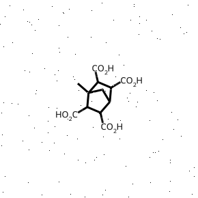 CC12CC(C(C(=O)O)C1C(=O)O)C(C(=O)O)C2C(=O)O